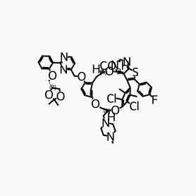 Cc1c(Cl)c2c(Cl)c(C)c1-c1c(-c3ccc(F)cc3)sc3ncnc(c13)O[C@@H](C(=O)O)Cc1cc(ccc1OCc1ccnc(-c3ccccc3OC[C@@H]3COC(C)(C)O3)n1)OC[C@@H](CN1CCN(C)CC1)O2